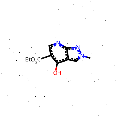 CCOC(=O)c1cnc2nn(C)cc2c1O